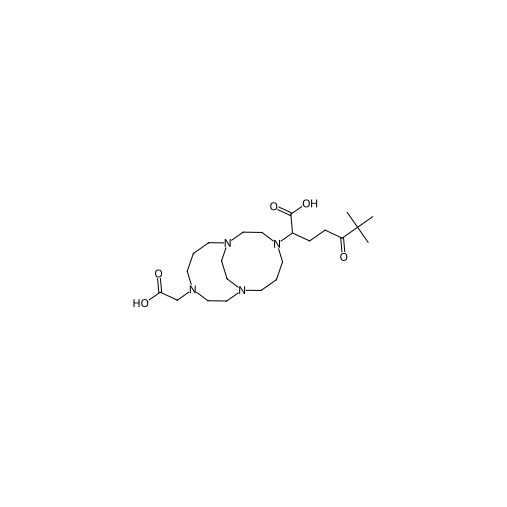 CC(C)(C)C(=O)CCC(C(=O)O)N1CCCN2CCN(CCCN(CC(=O)O)CC2)CC1